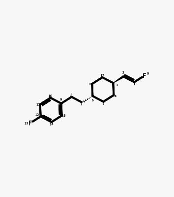 FC=C[C@H]1CC[C@H](CCc2ccc(F)cc2)CC1